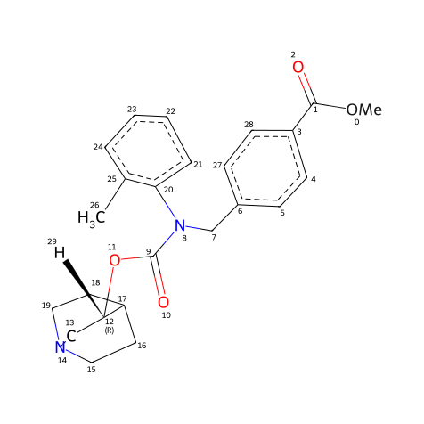 COC(=O)c1ccc(CN(C(=O)O[C@H]2CN3CCC2CC3)c2ccccc2C)cc1